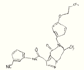 CC1Cn2ncc(C(=O)Nc3cccc(C#N)c3)c2C(=O)N1c1ccc(OCCC(F)(F)F)cc1